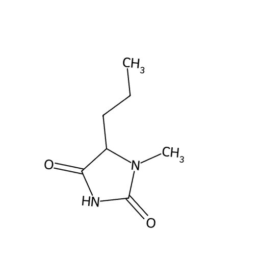 CCCC1C(=O)NC(=O)N1C